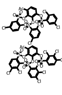 CC(=O)c1ccc(OS(=O)(=O)c2cc(Cl)ccc2Cl)c(OS(=O)(=O)c2cc(Cl)ccc2Cl)c1OS(=O)(=O)c1cc(Cl)ccc1Cl.CC(=O)c1ccc(OS(=O)(=O)c2ccc(Cl)c(Cl)c2Cl)c(OS(=O)(=O)c2ccc(Cl)c(Cl)c2Cl)c1OS(=O)(=O)c1ccc(Cl)c(Cl)c1Cl